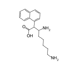 NCCCCCC(N)C(C(=O)O)c1cccc2ccccc12